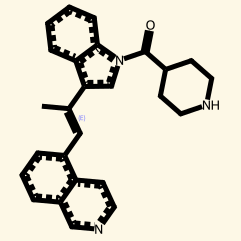 C/C(=C\c1cccc2cnccc12)c1cn(C(=O)C2CCNCC2)c2ccccc12